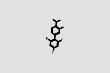 Cc1cc(-c2c(F)cc(F)cc2F)ccc1C(C)C